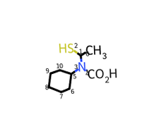 CC(S)N(C(=O)O)C1CCCCC1